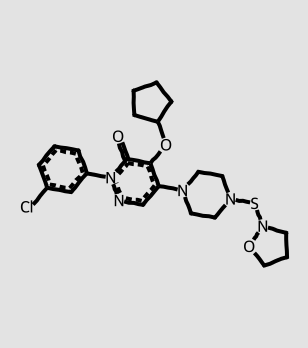 O=c1c(OC2CCCC2)c(N2CCN(SN3CCCO3)CC2)cnn1-c1cccc(Cl)c1